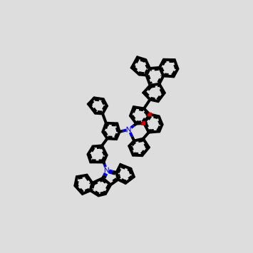 c1ccc(-c2cc(-c3cccc(-n4c5ccccc5c5ccc6ccccc6c54)c3)cc(N(c3ccc(-c4ccc5c6ccccc6c6ccccc6c5c4)cc3)c3ccccc3-c3ccccc3)c2)cc1